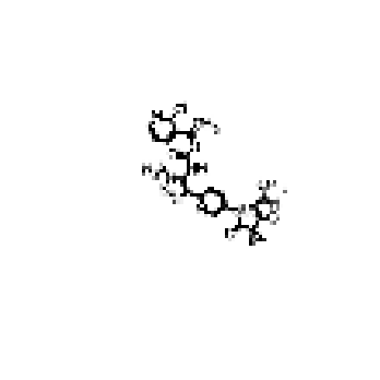 Cc1cc(C2(C(=O)Nc3ccc(-c4nnn(C)c4NC(=O)O[C@H](C)c4cccnc4Cl)nc3)CC2)on1